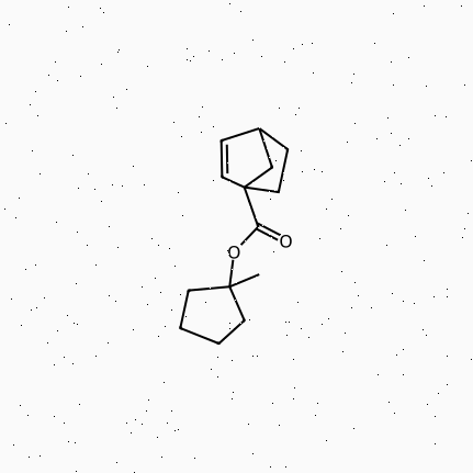 CC1(OC(=O)C23C=CC(CC2)C3)CCCC1